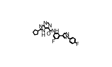 O=C(Nc1cc(F)cc(-c2cnn(-c3ccc(F)cc3)c2)c1)c1ncnc2nc(C3CCCC3)[nH]c12